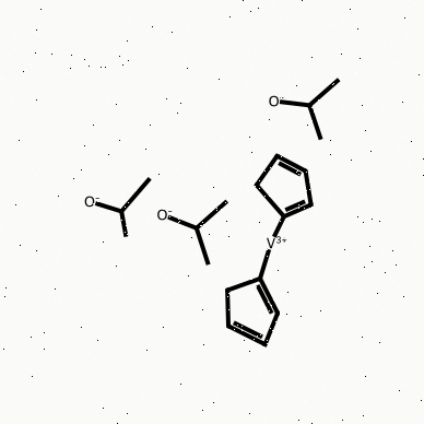 C1=CC[C]([V+3][C]2=CC=CC2)=C1.CC(C)[O-].CC(C)[O-].CC(C)[O-]